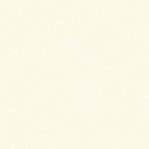 CC1CC(C)C2(C)CN=C(S2)N2CCCN(CC2)c2ncnc3sc1cc23